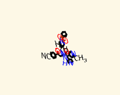 Cc1cc(C2(c3ccncc3)NC(=CC(=O)c3ccc(C#N)cc3)N(C[C@H]3[C@H]4CN(S(=O)(=O)c5ccccc5)C[C@@H]34)C2=O)ccn1